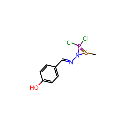 CS1=P(Cl)(Cl)N1N=Cc1ccc(O)cc1